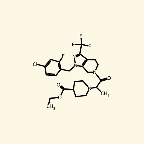 CCOC(=O)C1CCN(C(C)C(=O)N2CCc3c(C(F)(F)F)nn(Cc4ccc(Cl)cc4F)c3C2)CC1